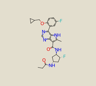 CCC(=O)N[C@H]1C[C@@H](F)[C@H](NC(=O)c2c(C)[nH]c3c(-c4cc(F)ccc4OCC4CC4)ncnc23)C1